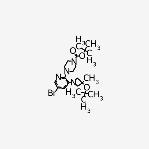 CC(C)(C)OC(=O)N1CCN(c2ncc(Br)cc2N2CC(C)(OC(C)(C)C)C2)CC1